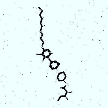 CCCCCCCCCCOc1ccc(-c2ccc([C@H]3CC[C@H](OC(=O)[C@@H](F)[C@@H](C)CC)CC3)cc2)c(F)c1F